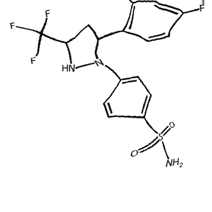 NS(=O)(=O)c1ccc(N2NC(C(F)(F)F)CC2c2ccc(F)cc2F)cc1